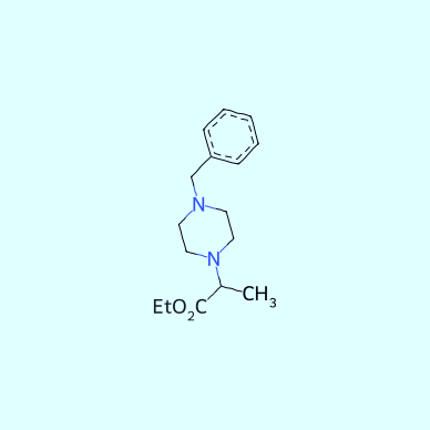 CCOC(=O)C(C)N1CCN(Cc2ccccc2)CC1